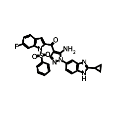 Nc1c(C(=O)c2cc3ccc(F)cc3n2S(=O)(=O)c2ccccc2)cnn1-c1ccc2[nH]c(C3CC3)nc2c1